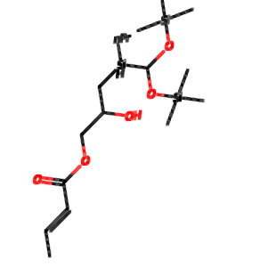 CC=CC(=O)OCC(O)C[SiH](CCC)C(O[Si](C)(C)C)O[Si](C)(C)C